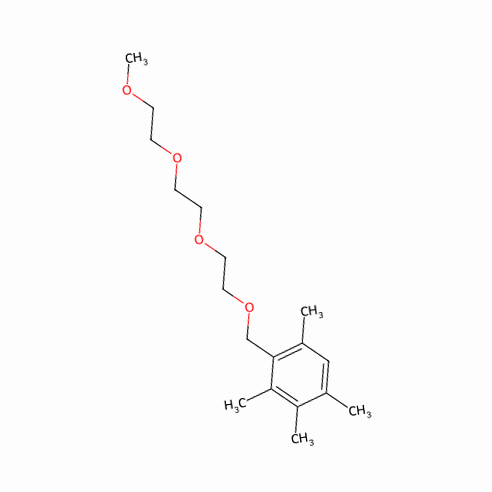 COCCOCCOCCOCc1c(C)cc(C)c(C)c1C